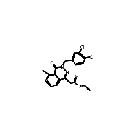 CCOC(=O)Cc1nn(Cc2ccc(Cl)c(Cl)c2)c(=O)c2c(C)cccc12